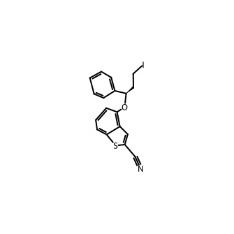 N#Cc1cc2c(O[C@H](CCI)c3ccccc3)cccc2s1